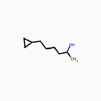 CC([NH])CCCCC1CC1